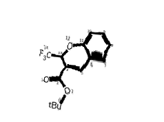 CC(C)(C)OC(=O)C1=Cc2ccccc2OC1C(F)(F)F